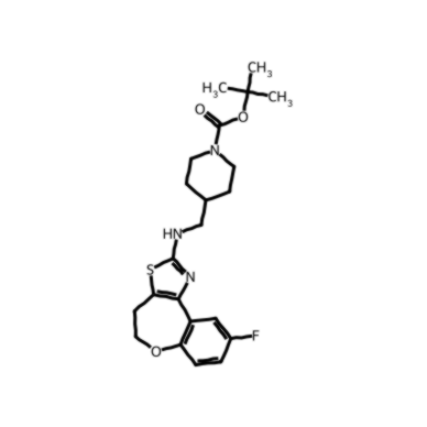 CC(C)(C)OC(=O)N1CCC(CNc2nc3c(s2)CCOc2ccc(F)cc2-3)CC1